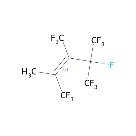 C/C(=C(\C(F)(F)F)C(F)(C(F)(F)F)C(F)(F)F)C(F)(F)F